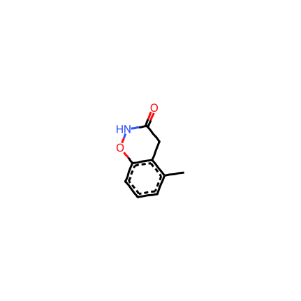 Cc1cccc2c1CC(=O)NO2